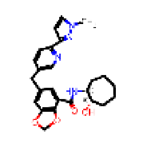 Cn1ccc(-c2ccc(Cc3cc4c(c(C(=O)N[C@H]5CCCCC[C@@H]5O)c3)OCO4)cn2)n1